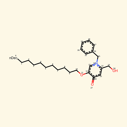 CCCCCCCCCCCCCCCCCCCCOc1cn(Cc2ccccc2)c(CO)cc1=O